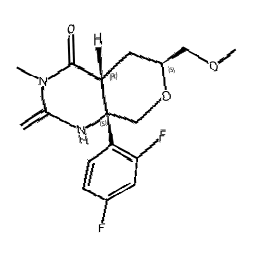 C=C1N[C@@]2(c3ccc(F)cc3F)CO[C@H](COC)C[C@H]2C(=O)N1C